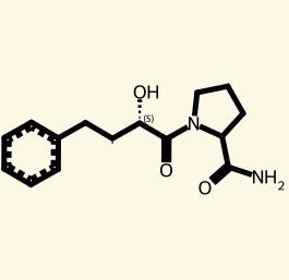 NC(=O)C1CCCN1C(=O)[C@@H](O)[CH]Cc1ccccc1